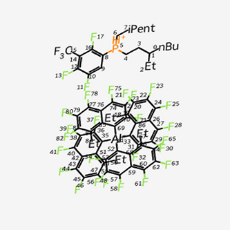 CCCCC(CC)CC[PH+](CC(C)CCC)c1cc(F)c(F)c(C(F)(F)F)c1F.CCc1c(F)c(F)c(F)c2c(F)c(F)c(F)[c]([Al-]([c]3c(F)c(F)c(F)c4c(F)c(F)c(F)c(CC)c34)([c]3c(F)c(F)c(F)c4c(F)c(F)c(F)c(CC)c34)[c]3c(F)c(F)c(F)c4c(F)c(F)c(F)c(CC)c34)c12